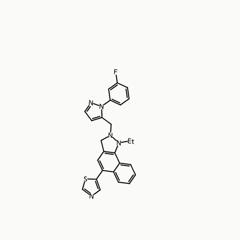 CCN1c2c(cc(-c3cncs3)c3ccccc23)CN1Cc1ccnn1-c1cccc(F)c1